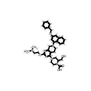 CN(C)CCOc1nc2c(c(N3CCN(C(=O)O)C(CO)C3)n1)CCN(c1cc(OCc3ccccc3)cc3ccccc13)C2